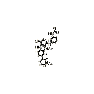 CCC(=O)Nc1cccc(Nc2ncc(Cl)c(Nc3ccc(C4CCCN(C(C)=O)C4)cc3OC)n2)c1